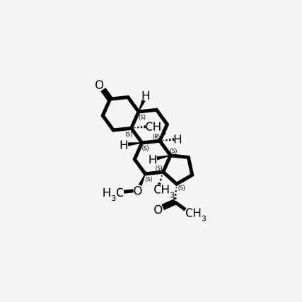 CO[C@H]1C[C@H]2[C@@H](CC[C@H]3CC(=O)CC[C@@]32C)[C@@H]2CC[C@H](C(C)=O)[C@@]12C